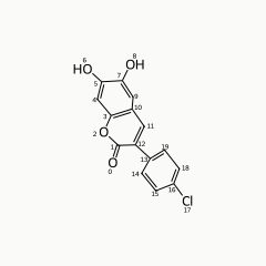 O=c1oc2cc(O)c(O)cc2cc1-c1ccc(Cl)cc1